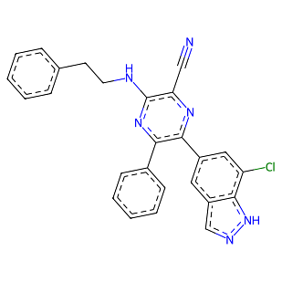 N#Cc1nc(-c2cc(Cl)c3[nH]ncc3c2)c(-c2ccccc2)nc1NCCc1ccccc1